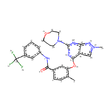 Cc1ccc(C(=O)Nc2cccc(C(F)(F)F)c2)cc1Oc1nc(N2CCOCC2)nc2nn(C)cc12